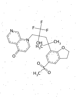 CC(C)(CC(O)(Cn1ccc(=O)c2ccncc21)C(F)(F)F)c1cc(S(C)(=O)=O)cc2c1OCC2